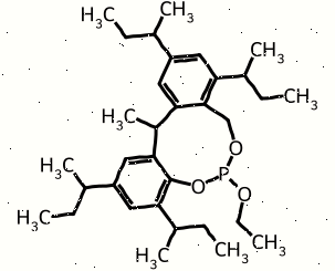 CCOP1OCc2c(C(C)CC)cc(C(C)CC)cc2C(C)c2cc(C(C)CC)cc(C(C)CC)c2O1